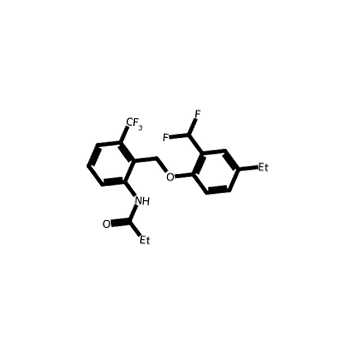 CCC(=O)Nc1cccc(C(F)(F)F)c1COc1ccc(CC)cc1C(F)F